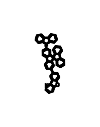 c1ccc2c(c1)-c1ccccc1C21c2cc(-c3ccc4oc5cccnc5c4c3)ccc2-c2ccc(-n3c4ccccc4c4ccccc43)cc21